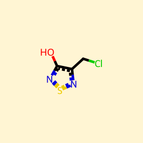 Oc1nsnc1CCl